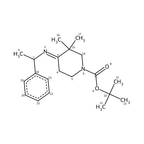 CC(N=C1CCN(C(=O)OC(C)(C)C)CC1(C)C)c1ccccc1